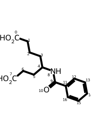 O=C(O)CCCC(CCC(=O)O)NC(=O)c1ccccc1